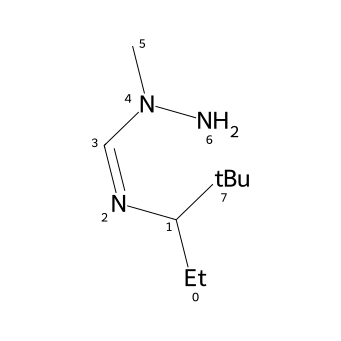 CCC(/N=C\N(C)N)C(C)(C)C